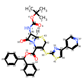 CC(C)(C)OC(=O)N[C@@H]1C(=O)N2C(C(=O)OC(c3ccccc3)c3ccccc3)=C(Sc3nc(-c4ccncc4)cs3)CS[C@H]12